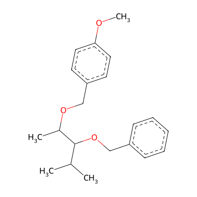 COc1ccc(COC(C)C(OCc2ccccc2)C(C)C)cc1